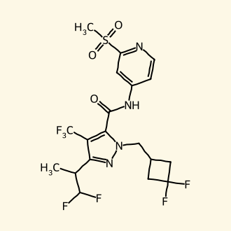 CC(c1nn(CC2CC(F)(F)C2)c(C(=O)Nc2ccnc(S(C)(=O)=O)c2)c1C(F)(F)F)C(F)F